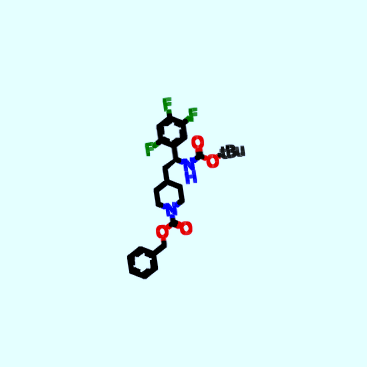 CC(C)(C)OC(=O)N[C@@H](CC1CCN(C(=O)OCc2ccccc2)CC1)c1cc(F)c(F)cc1F